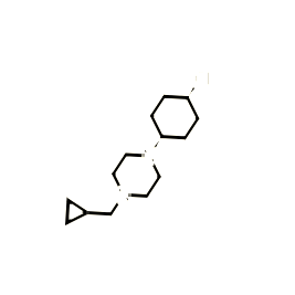 C[C@H]1CC[C@@H](N2CCN(CC3CC3)CC2)CC1